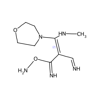 CN/C(=C(\C=N)C(=N)ON)N1CCOCC1